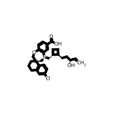 C=C[C@H](O)CC[C@@H]1CC[C@H]1CN1C[C@@]2(CCCc3cc(Cl)ccc32)COc2ccc(C(=O)O)cc21